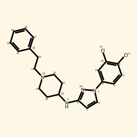 Clc1ccc(-n2ccc(NC3CCN(CCc4ccccc4)CC3)n2)cc1Cl